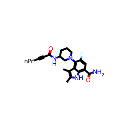 CCCC#CC(=O)NC1CCCN(c2c(F)cc(C(N)=O)c3[nH]c(C)c(C)c23)C1